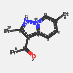 CCc1ccc2c(C(=O)C(C)C)c(C(C)C)nn2c1